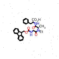 CCN(C(=O)CNC(=O)OCC1c2ccccc2-c2ccccc21)[C@@H](C)C(=O)N[C@@H](Cc1ccccc1)C(=O)O